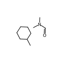 CC1CCCCC1.CN(C)C=O